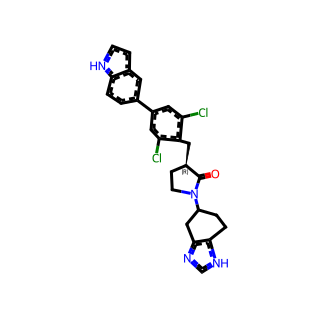 O=C1[C@H](Cc2c(Cl)cc(-c3ccc4[nH]ccc4c3)cc2Cl)CCN1C1CCc2[nH]cnc2C1